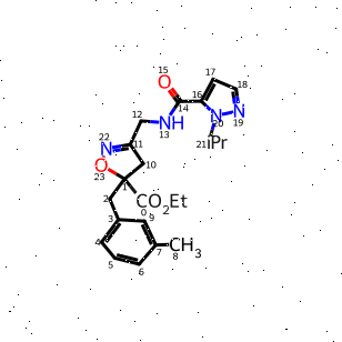 CCOC(=O)C1(Cc2cccc(C)c2)CC(CNC(=O)c2ccnn2C(C)C)=NO1